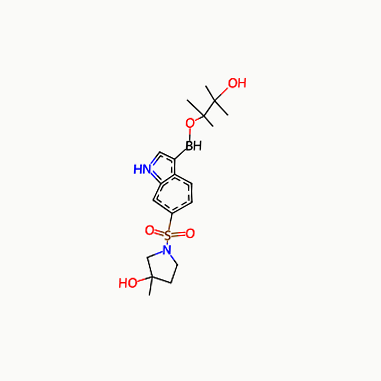 CC1(O)CCN(S(=O)(=O)c2ccc3c(BOC(C)(C)C(C)(C)O)c[nH]c3c2)C1